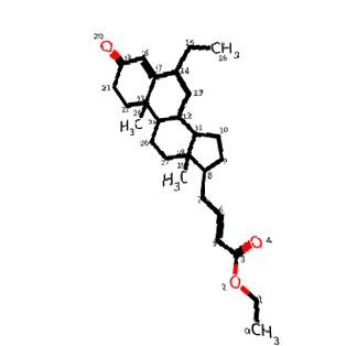 CCOC(=O)/C=C/CC1CCC2C3CC(CC)C4=CC(=O)CCC4(C)C3CCC12C